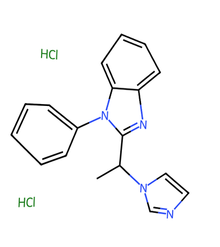 CC(c1nc2ccccc2n1-c1ccccc1)n1ccnc1.Cl.Cl